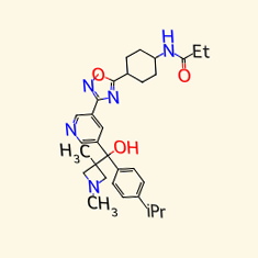 CCC(=O)NC1CCC(c2nc(-c3cncc(C(O)(c4ccc(C(C)C)cc4)C4(C)CN(C)C4)c3)no2)CC1